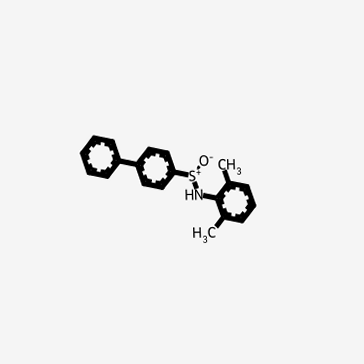 Cc1cccc(C)c1N[S@@+]([O-])c1ccc(-c2ccccc2)cc1